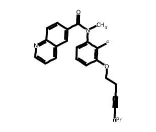 CCCC#CCCOc1cccc(N(C)C(=O)c2ccc3ncccc3c2)c1F